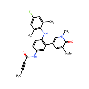 CC#CC(=O)Nc1ccc(Nc2c(C)cc(F)cc2C)c(-c2cc(NC)c(=O)n(C)c2)c1